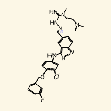 CN(C)CCN(C)C(=N)N/N=C/c1ccc2ncnc(Nc3ccc(OCc4cccc(F)c4)c(Cl)c3)c2c1